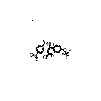 CC(Nc1cc(Cl)nc2cc(OC(F)(F)F)ccc12)c1ccc([N+](=O)[O-])cc1